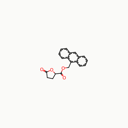 O=C1CCC(C(=O)OCc2c3ccccc3cc3ccccc23)O1